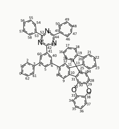 c1ccc(-c2cc(-c3ccc4c(c3)C3(c5ccccc5-c5ccccc53)c3ccc5c(c3-4)Oc3ccccc3O5)cc(-c3nc(-c4ccccc4)nc(-c4ccccc4)n3)c2)cc1